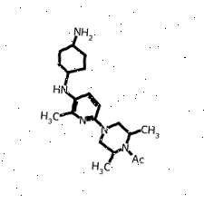 CC(=O)N1C(C)CN(c2ccc(NC3CCC(N)CC3)c(C)n2)CC1C